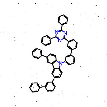 c1ccc(-c2cccc(-c3ccc4c(c3)c3cc(-c5ccccc5)ccc3n4-c3cccc(-c4cccc(-c5nc(-c6ccccc6)nc(-c6ccccc6)n5)c4)c3)c2)cc1